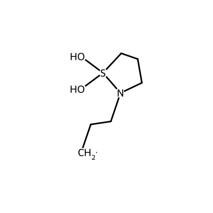 [CH2]CCN1CCCS1(O)O